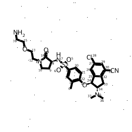 Cc1cc(S(=O)(=O)N[C@H]2CCN(CCOCCN)C2=O)ccc1O[C@H]1c2cc(Cl)cc(C#N)c2C[C@@H]1N(C)C